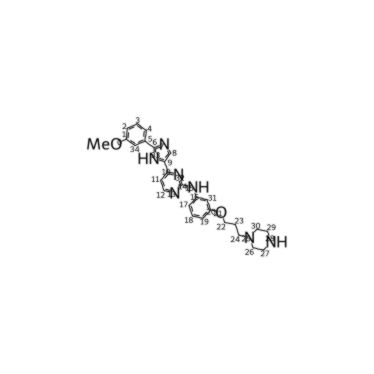 COc1cccc(-c2ncc(-c3ccnc(Nc4cccc(OCCCN5CCNCC5)c4)n3)[nH]2)c1